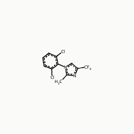 Cc1nc(C(F)(F)F)cn1-c1c(Cl)cccc1Cl